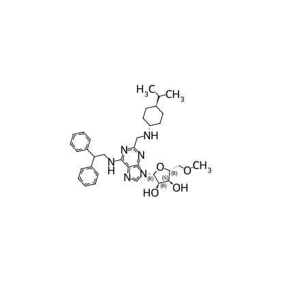 COC[C@H]1O[C@@H](n2cnc3c(NCC(c4ccccc4)c4ccccc4)nc(CN[C@H]4CC[C@H](C(C)C)CC4)nc32)[C@H](O)[C@@H]1O